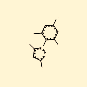 CCc1cc(C(F)(F)F)nn1-c1c(Cl)cc(C#N)cc1Cl